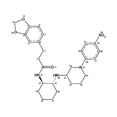 O=C(CCc1ccc2c(c1)OCO2)N[C@@H]1CCCC[C@H]1NC1CCCN(c2ccc([N+](=O)[O-])cc2)C1